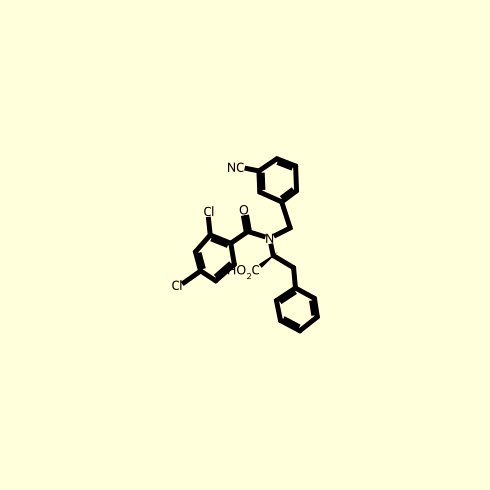 N#Cc1cccc(CN(C(=O)c2ccc(Cl)cc2Cl)[C@@H](Cc2ccccc2)C(=O)O)c1